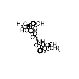 CN1CC[C@]23c4c5ccc(O)c4O[C@H]2C(OC(=O)CCNC(=O)[C@@H](OC(=O)OC(C)(C)C)c2ccccc2)=CC[C@@]3(O)[C@H]1C5